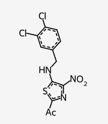 CC(=O)c1nc([N+](=O)[O-])c(NCc2ccc(Cl)c(Cl)c2)s1